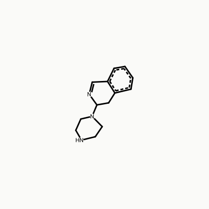 C1=NC(N2CCNCC2)Cc2ccccc21